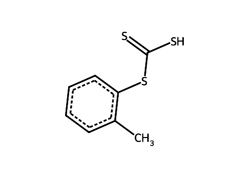 Cc1ccccc1SC(=S)S